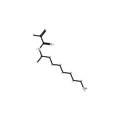 C=C(C)C(=O)OC(C)CCCCCCCO